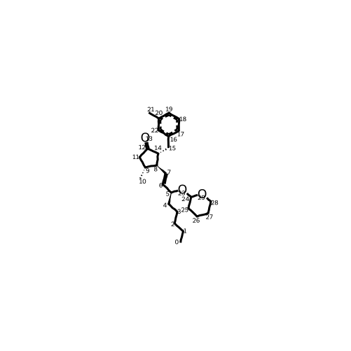 CCCCC[C@@H](/C=C/[C@H]1[C@H](C)CC(=O)[C@@H]1Cc1cccc(C)c1)OC1CCCCO1